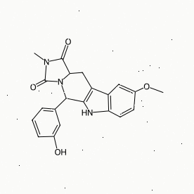 COc1ccc2[nH]c3c(c2c1)CC1C(=O)N(C)C(=O)N1C3c1cccc(O)c1